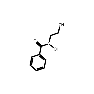 N#CCCN(O)C(=O)c1ccccc1